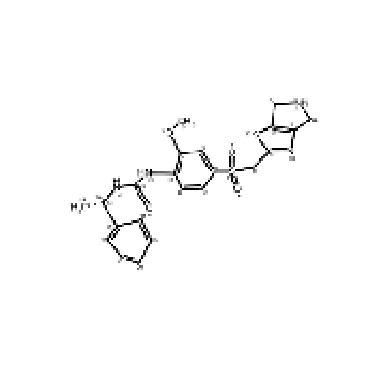 COc1cc(S(=O)(=O)Cc2nc3c(s2)CNC3)ccc1NC(=O)N[C@@H](C)c1ccccc1